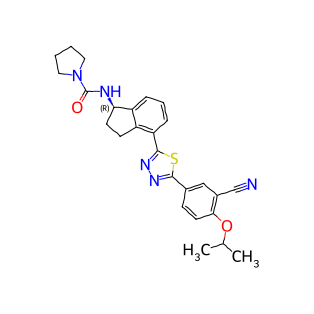 CC(C)Oc1ccc(-c2nnc(-c3cccc4c3CC[C@H]4NC(=O)N3CCCC3)s2)cc1C#N